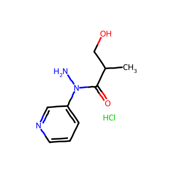 CC(CO)C(=O)N(N)c1cccnc1.Cl